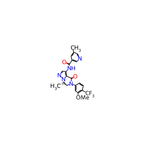 COc1cc(N2C[C@H](C)n3ncc(NC(=O)c4cncc(C)c4)c3C2=O)ccc1C(F)(F)F